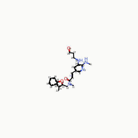 CNc1ncc(/C=C/C(=O)N(C)Cc2oc3ccccc3c2C)cc1NCCC=O